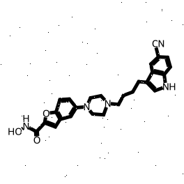 N#Cc1ccc2[nH]cc(CCCCN3CCN(c4ccc5oc(C(=O)NO)cc5c4)CC3)c2c1